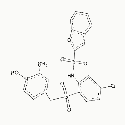 Nc1cc(CS(=O)(=O)c2ccc(Cl)cc2NS(=O)(=O)c2cc3ccccc3o2)cc[n+]1O